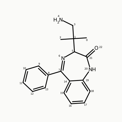 CC(C)(CN)C1N=C(c2ccccc2)c2ccccc2NC1=O